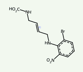 O=C(O)NC/C=C/CNc1c(Br)cccc1[N+](=O)[O-]